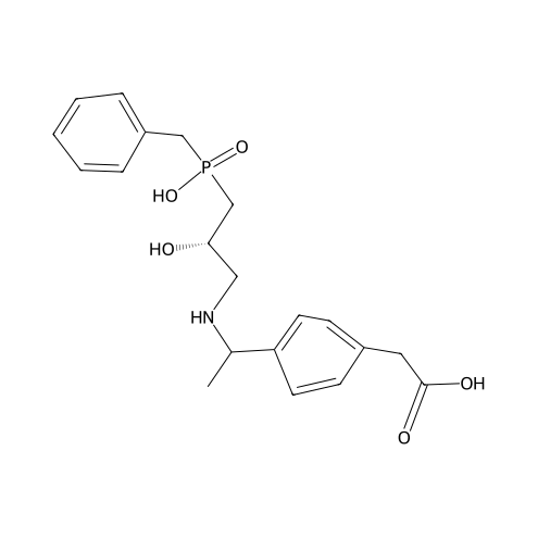 CC(NC[C@H](O)CP(=O)(O)Cc1ccccc1)c1ccc(CC(=O)O)cc1